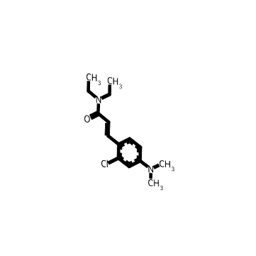 CCN(CC)C(=O)/C=C/c1ccc(N(C)C)cc1Cl